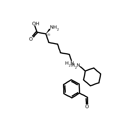 NC1CCCCC1.NCCCC[C@H](N)C(=O)O.O=Cc1ccccc1